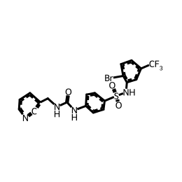 O=C(NCc1cccnc1)Nc1ccc(S(=O)(=O)Nc2cc(C(F)(F)F)ccc2Br)cc1